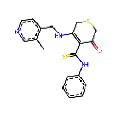 Cc1cnccc1CNC1=C(C(=S)Nc2ccccc2)C(=O)CSC1